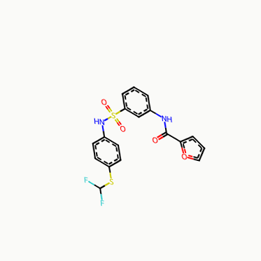 O=C(Nc1cccc(S(=O)(=O)Nc2ccc(SC(F)F)cc2)c1)c1ccco1